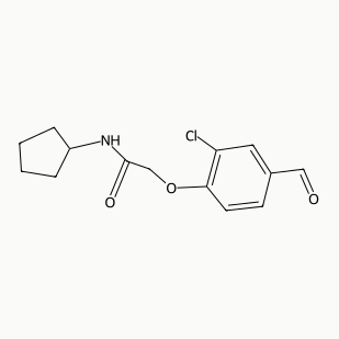 O=Cc1ccc(OCC(=O)NC2CCCC2)c(Cl)c1